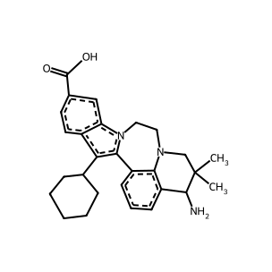 CC1(C)CN2CCn3c(c(C4CCCCC4)c4ccc(C(=O)O)cc43)-c3cccc(c32)C1N